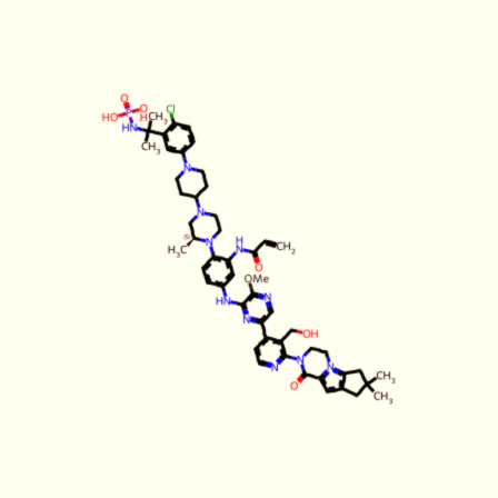 C=CC(=O)Nc1cc(Nc2nc(-c3ccnc(N4CCn5c(cc6c5CC(C)(C)C6)C4=O)c3CO)cnc2OC)ccc1N1CCN(C2CCN(c3ccc(Cl)c(C(C)(C)NP(=O)(O)O)c3)CC2)C[C@@H]1C